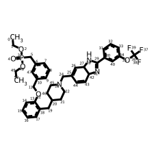 CCOP(=O)(Cc1cccc(COc2ccccc2CC2CCN(CC3=CC4NC(c5cccc(OC(F)(F)F)c5)=NC4C=C3)CC2)c1)OCC